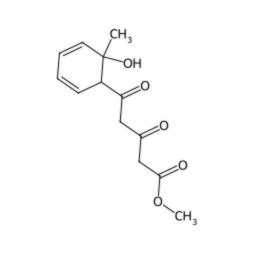 COC(=O)CC(=O)CC(=O)C1C=CC=CC1(C)O